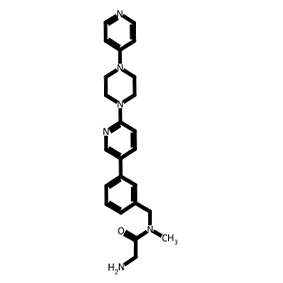 CN(Cc1cccc(-c2ccc(N3CCN(c4ccncc4)CC3)nc2)c1)C(=O)CN